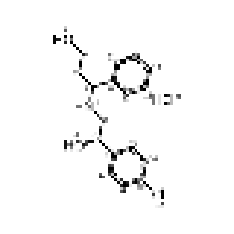 Cl.OCCC(NC[C@H](O)c1ccc(Cl)cc1)c1ccccc1